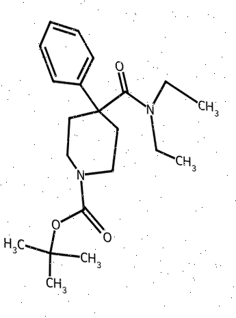 CCN(CC)C(=O)C1(c2ccccc2)CCN(C(=O)OC(C)(C)C)CC1